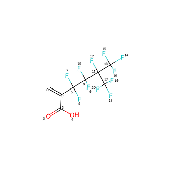 C=C(C(=O)O)C(F)(F)C(F)(F)C(F)(C(F)(F)F)C(F)(F)F